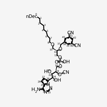 CCCCCCCCCCCCCCCCCCOC[C@H](COP(=O)(O)OC[C@@H](OC#N)[C@@H](O)[C@@H](O)c1ccc2c(N)ncnn12)OCc1cc(C#N)cc(C#N)c1